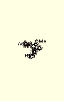 COc1ccc2c(c1)CC(NC(=O)N1C[C@@H](C)N(C(C)=O)[C@@H](C)C1)Cn1c-2c(C2CCCCC2)c2ccc(C(=O)N[SH](=O)=O)cc21